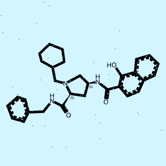 O=C(N[C@H]1C[C@@H](C(=O)NCc2ccccc2)N(CC2CCCCC2)C1)c1ccc2ccccc2c1O